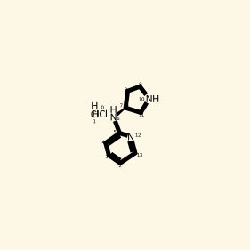 Cl.Cl.c1ccc(N[C@H]2CCNC2)nc1